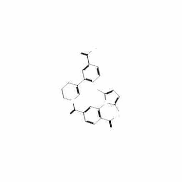 Cc1ccc(C)n1-c1cc(C(=O)N2C=C(c3cccc(C(=O)O)c3)CCC2)ccc1C(=O)O